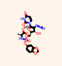 CCCCOC(=O)[C@H](C)NP(=O)(OC[C@H]1OC(n2ccc(=O)[nH]c2=O)=C(N=[N+]=[N-])[C@@H]1O)Oc1ccc2c(c1)OCO2